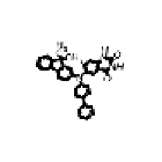 CC1(C)c2ccccc2-c2ccc(N(c3ccc(-c4ccccc4)cc3)c3ccc4[nH]c(=O)[nH]c(=O)c4c3)cc21